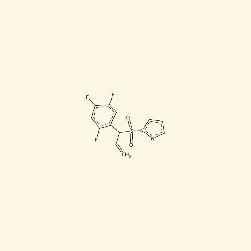 C=CC(c1cc(F)c(F)cc1F)S(=O)(=O)n1cccn1